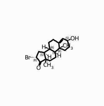 C[C@]12CC[C@H](O)C=C1CC[C@@H]1[C@@H]2CC[C@]2(C)C(=O)[C@H](Br)C[C@@H]12